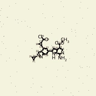 COC(=O)c1cnc(N)c2[nH]c(-c3cc(C4CC4C(=O)Cl)c4cn(C5CC5)nc4c3)cc12